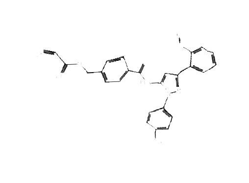 C=CC(=O)NCc1ccc(C(=O)Nc2cc(-c3ccccc3OC)nn2-c2ccc(C)cc2)cc1